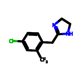 FC(F)(F)c1cc(Cl)ccc1CC1=NCCN1